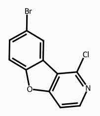 Clc1nccc2oc3ccc(Br)cc3c12